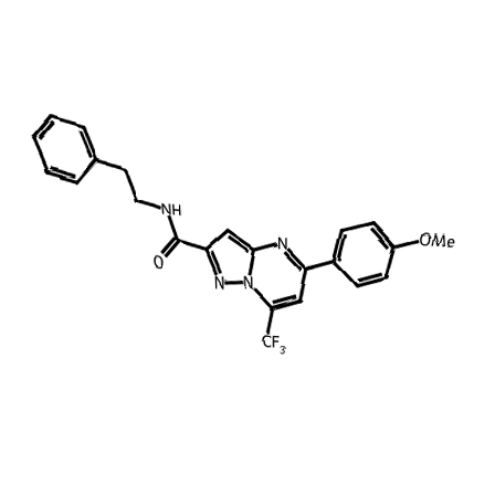 COc1ccc(-c2cc(C(F)(F)F)n3nc(C(=O)NCCc4ccccc4)cc3n2)cc1